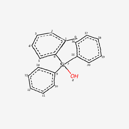 Cc1ccccc1[Si](O)(c1ccccc1)c1ccccc1